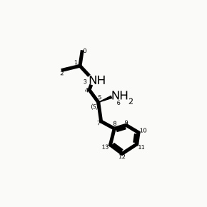 CC(C)NC[C@@H](N)Cc1ccccc1